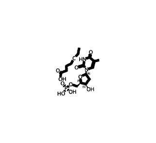 CCCCCCC(=O)O.Cc1cn([C@H]2C[C@H](O)[C@@H](COP(=O)(O)O)O2)c(=O)[nH]c1=O